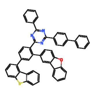 c1ccc(-c2ccc(-c3nc(-c4ccccc4)nc(-c4ccc(-c5cccc6sc7ccccc7c56)cc4-c4ccc5oc6ccccc6c5c4)n3)cc2)cc1